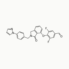 O=Cc1cc(F)c(Oc2cccc3c2C(=O)N(Cc2ccc(-n4cccn4)cc2)C3)c(F)c1